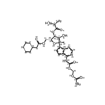 CC(C)[C@H](N)C(=O)O[C@H]1[C@@H](O)[C@](C)(c2ccc3c(NC(=O)OCOC(=O)C(C)(C)C)ncnn23)O[C@@H]1COC(=O)CC1CCCCC1